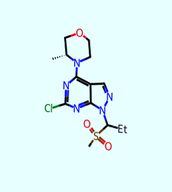 CCC(n1ncc2c(N3CCOC[C@H]3C)nc(Cl)nc21)S(C)(=O)=O